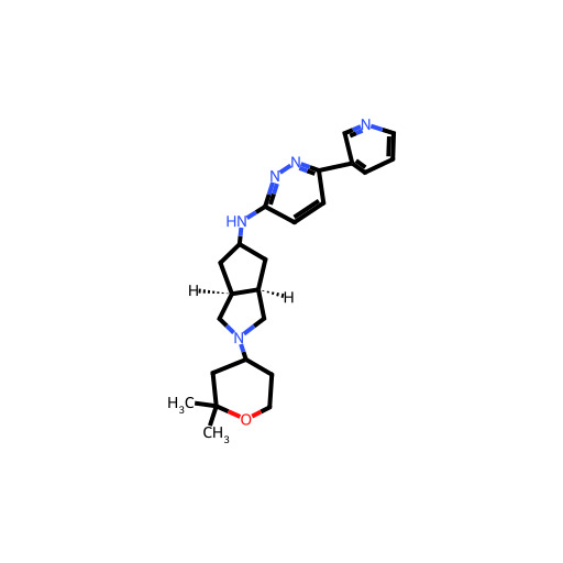 CC1(C)CC(N2C[C@H]3CC(Nc4ccc(-c5cccnc5)nn4)C[C@H]3C2)CCO1